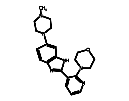 CN1CCN(c2ccc3nc(-c4cccnc4N4CCOCC4)[nH]c3c2)CC1